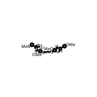 BC12C=Nc3cc(OCCCCCOc4cc5c(cc4OC)C(=O)N4C=C(c6ccc(OC)cc6)C[C@H]4C=N5)c(OC)cc3C(=O)N1C=C(c1cccc(NC)c1)C2